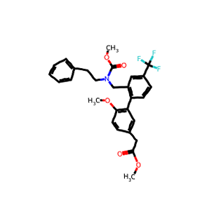 COC(=O)Cc1ccc(OC)c(-c2ccc(C(F)(F)F)cc2CN(CCc2ccccc2)C(=O)OC)c1